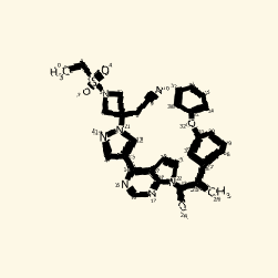 CCS(=O)(=O)N1CC(CC#N)(n2cc(-c3ncnc4c3ccn4C(=O)C(C)c3cccc(Oc4ccccc4)c3)cn2)C1